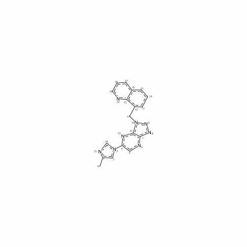 Cc1cn(-c2cnc3nnn(Cc4cccc5cccnc45)c3n2)cn1